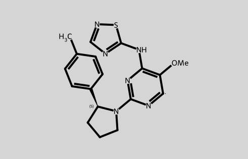 COc1[c]nc(N2CCC[C@H]2c2ccc(C)cc2)nc1Nc1ncns1